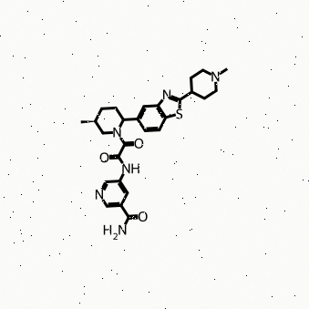 C[C@H]1CCC(c2ccc3sc(C4CCN(C)CC4)nc3c2)N(C(=O)C(=O)Nc2cncc(C(N)=O)c2)C1